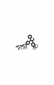 CCC(=C(c1ccccc1)c1ccc(OCC(O)CN(CC)CC)cc1)c1ccc2c(c1)OCO2